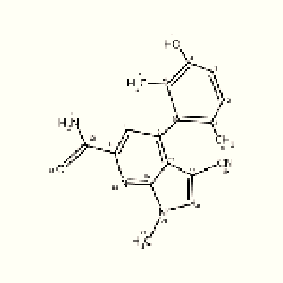 Cc1ccc(O)c(C)c1-c1cc(C(N)=O)nc2c1c(C#N)cn2C